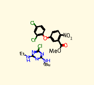 CCNc1nc(Cl)nc(NC(C)(C)C)n1.COC(=O)c1cc(Oc2ccc(Cl)cc2Cl)ccc1[N+](=O)[O-]